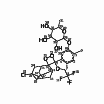 Cc1ccc(C2(OCC(F)(F)F)OOC23C2CC4CC3CC(Cl)(C4)C2)cc1OC1OC(C)C(O)C(O)C1O